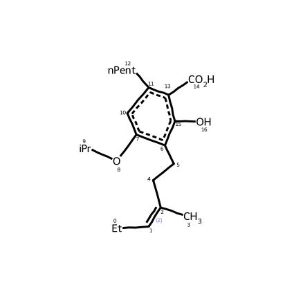 CC/C=C(/C)CCc1c(OC(C)C)cc(CCCCC)c(C(=O)O)c1O